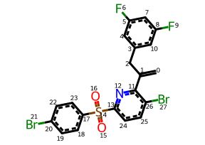 C=C(Cc1cc(F)cc(F)c1)c1nc(S(=O)(=O)c2ccc(Br)cc2)ccc1Br